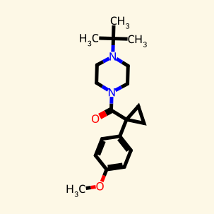 COc1ccc(C2(C(=O)N3CCN(C(C)(C)C)CC3)CC2)cc1